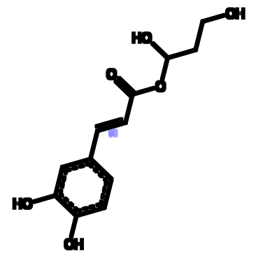 O=C(/C=C/c1ccc(O)c(O)c1)OC(O)CCO